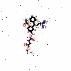 C=COC(=O)/C=C/C(=O)OCc1ccc(OC(=O)C(C)C)c([C@H](CCN(C(C)C)C(C)C)c2ccccc2)c1